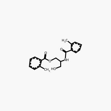 Cc1ccccc1C(=O)NC(CO)COC(=O)c1ccccc1C